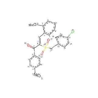 COc1ccccc1/C=C(/C(=O)c1ccc([N+](=O)[O-])cc1)S(=O)(=O)Cc1ccc(Cl)cc1